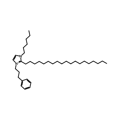 CCCCCCCCCCCCCCCCCCCc1n(CCCCCC)cc[n+]1CCCc1ccccc1